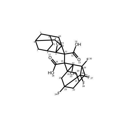 CC12C3CC4CC(C3)CC1(C4)C2(C(=O)O)C1(C(=O)O)C23CC4CC(F)(C2)C(F)(F)C(F)(C4)C31C